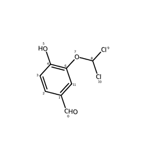 O=Cc1ccc(O)c(OC(Cl)Cl)c1